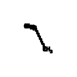 CCCCCCCCCCCCCCCCN1C=CN(CCN2CCCCC2)C1